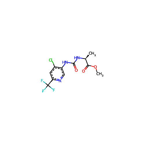 COC(=O)[C@H](C)NC(=O)Nc1cnc(C(F)(F)F)cc1Cl